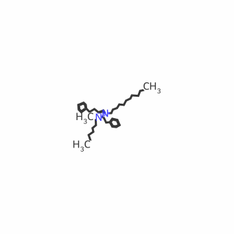 CCCCCCCCCCCCn1cc(CC(C)c2ccccc2)[n+](CCCCCCC)c1Cc1ccccc1